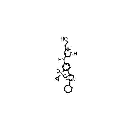 N=C/C(=C\NCCO)Nc1ccc(-c2cnc(C3CCCCC3)s2)c(S(=O)(=O)C2CC2)c1